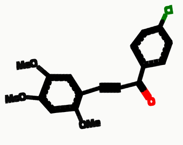 COc1cc(OC)c(OC)cc1C#CC(=O)c1ccc(Cl)cc1